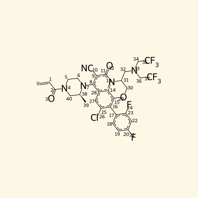 C=CC(=O)N1CCN(c2c(C#N)c(=O)n3c4c(c(-c5ccc(F)cc5F)c(Cl)cc24)OCC3CN(CC(F)(F)F)CC(F)(F)F)[C@@H](C)C1